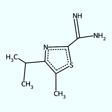 Cc1sc(C(=N)N)nc1C(C)C